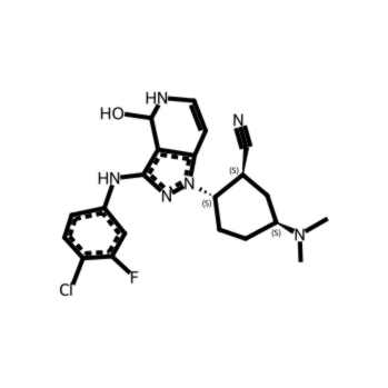 CN(C)[C@H]1CC[C@H](n2nc(Nc3ccc(Cl)c(F)c3)c3c2C=CNC3O)[C@@H](C#N)C1